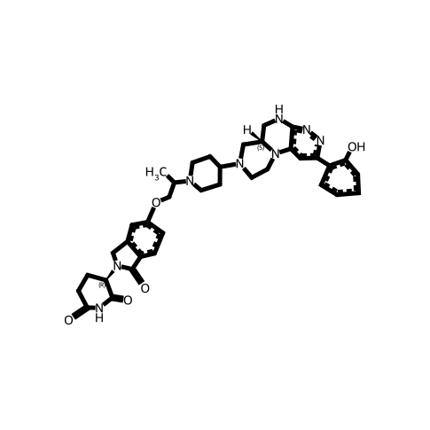 CC(COc1ccc2c(c1)CN([C@@H]1CCC(=O)NC1=O)C2=O)N1CCC(N2CCN3c4cc(-c5ccccc5O)nnc4NC[C@H]3C2)CC1